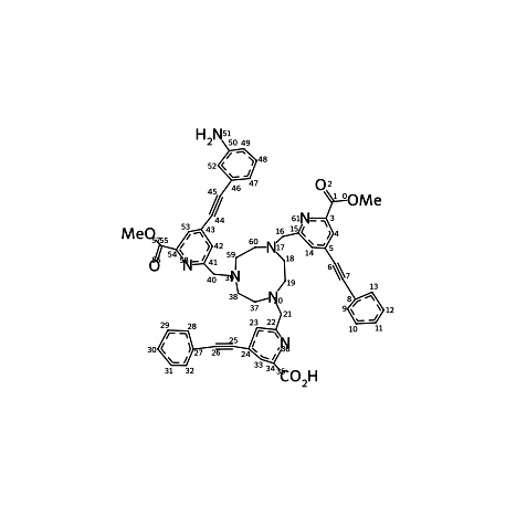 COC(=O)c1cc(C#Cc2ccccc2)cc(CN2CCN(Cc3cc(C#Cc4ccccc4)cc(C(=O)O)n3)CCN(Cc3cc(C#Cc4cccc(N)c4)cc(C(=O)OC)n3)CC2)n1